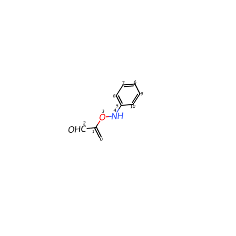 C=C(C=O)ONc1ccccc1